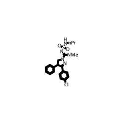 CCCNS(=O)(=O)N=C(NC)N1CC(c2ccccc2)C(c2ccc(Cl)cc2)=N1